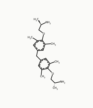 Cc1cc(Cc2cc(C)c(OC[C@@H](C)N)c(C)c2)cc(C)c1OC[C@@H](C)N